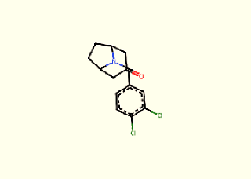 O=C1CC2CCC(C1)N2Cc1ccc(Cl)c(Cl)c1